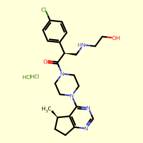 C[C@@H]1CCc2ncnc(N3CCN(C(=O)[C@H](CNCCO)c4ccc(Cl)cc4)CC3)c21.Cl.Cl